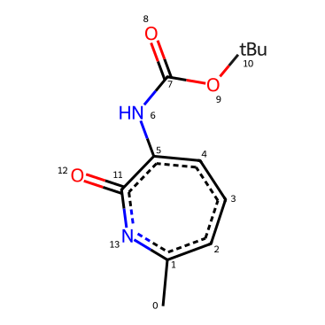 Cc1cccc(NC(=O)OC(C)(C)C)c(=O)n1